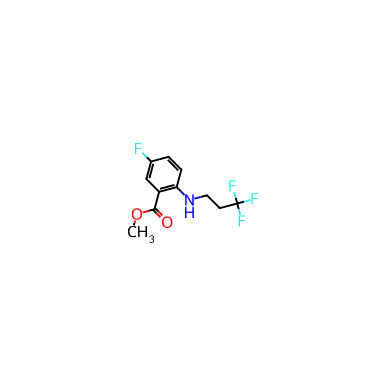 COC(=O)c1cc(F)ccc1NCCC(F)(F)F